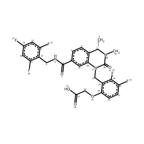 C[C@H]1c2ccc(C(=O)NCc3c(F)cc(F)cc3F)cc2N(Cc2c(OCC(=O)O)ccc(F)c2F)C(=O)N1C